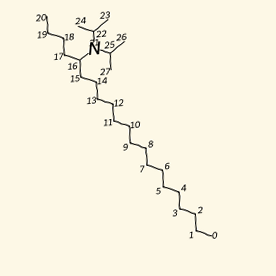 CCCCCCCCCCCCCCCCC(CCCC)N(C(C)C)C(C)C